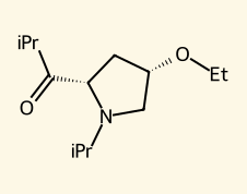 CCO[C@H]1C[C@@H](C(=O)C(C)C)N(C(C)C)C1